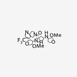 COC1COCCC1N[C@@H]1C[C@H]2CN(C3CCOCC3OC)C[C@@]2(C(=O)N2CCc3ncc(C(F)(F)F)cc3C2)C1